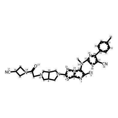 CCc1nc2sc(N3CC4CN(CC(=O)N5CC(C#N)C5)CC4C3)nn2c1N(C)c1nc(-c2ccc(C)cc2)c(C#N)s1